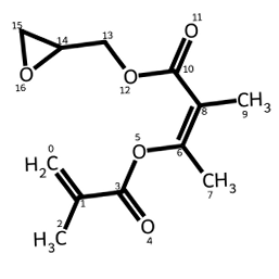 C=C(C)C(=O)OC(C)=C(C)C(=O)OCC1CO1